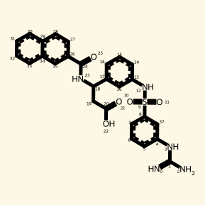 N=C(N)Nc1cccc(S(=O)(=O)Nc2cccc(C(CC(=O)O)NC(=O)c3ccc4ccccc4c3)c2)c1